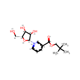 CC(C)(C)COC(=O)c1ccc[n+]([C@@H]2O[C@H](CO)[C@@H](O)[C@H]2O)c1